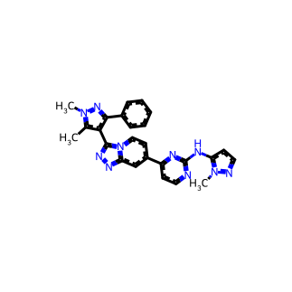 Cc1c(-c2nnc3cc(-c4ccnc(Nc5ccnn5C)n4)ccn23)c(-c2ccccc2)nn1C